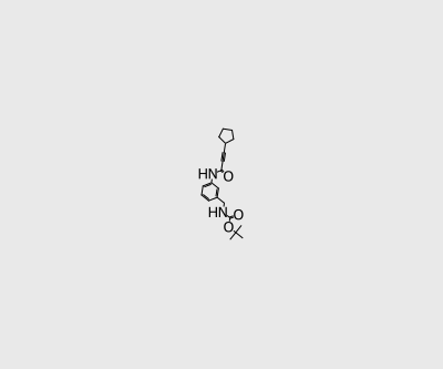 CC(C)(C)OC(=O)NCc1cccc(NC(=O)C#CC2CCCC2)c1